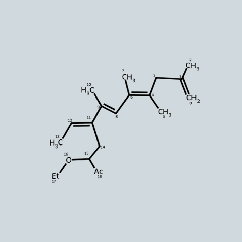 C=C(C)C/C(C)=C(C)/C=C(C)/C(=C/C)CC(OCC)C(C)=O